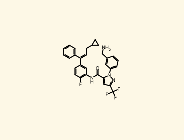 NCc1cccc(-n2nc(C(F)(F)F)cc2C(=O)Nc2cc(C(=CCC3CC3)c3ccccc3)ccc2F)c1